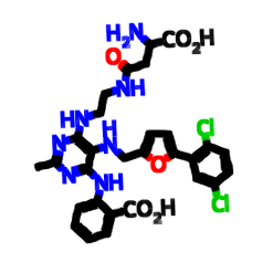 Cc1nc(NCCNC(=O)CC(N)C(=O)O)c(NCc2ccc(-c3cc(Cl)ccc3Cl)o2)c(Nc2ccccc2C(=O)O)n1